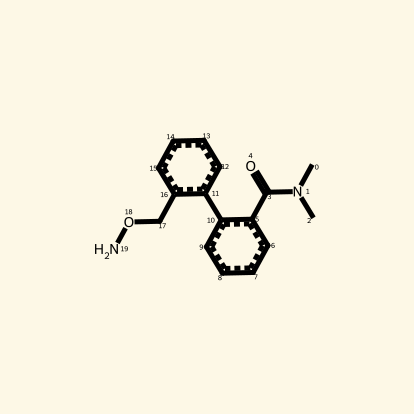 CN(C)C(=O)c1ccccc1-c1ccccc1CON